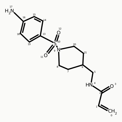 C=CC(=O)NCC1CCN(S(=O)(=O)c2ccc(N)cc2)CC1